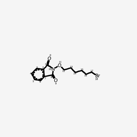 O=C1c2ccccc2C(=O)N1OCCCCCCBr